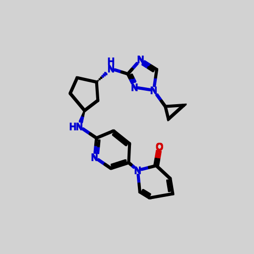 O=c1ccccn1-c1ccc(N[C@H]2CC[C@H](Nc3ncn(C4CC4)n3)C2)nc1